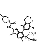 Cc1nc2c(cc(NC(=O)N3CCN(C)CC3)n2C)c(-c2cc(F)c3c(c2C)CCCO3)c1[C@H](OC(C)(C)C)C(=O)O